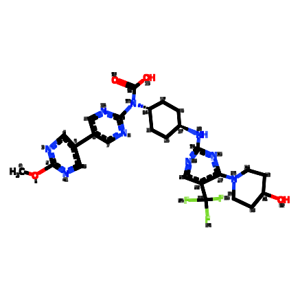 COc1ncc(-c2cnc(N(C(=O)O)[C@H]3CC[C@H](Nc4ncc(C(F)(F)F)c(N5CCC(O)CC5)n4)CC3)nc2)cn1